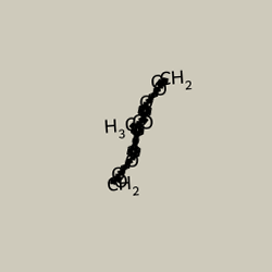 C=CC(=O)OCCCCOc1ccc(C#Cc2ccc(OC(=O)c3ccc(OCCCCOC(=O)C=C)cc3)c(C)c2)cc1